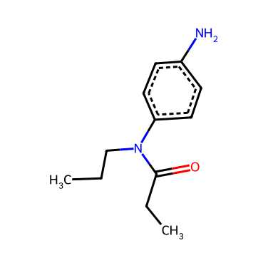 CCCN(C(=O)CC)c1ccc(N)cc1